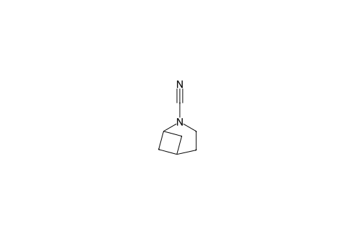 N#CN1CCC2CC1C2